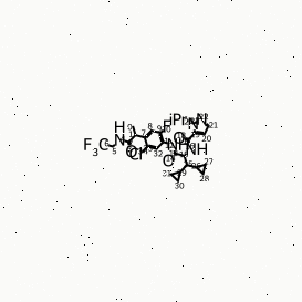 CC(C(=O)NCC(F)(F)F)c1cc(F)c(NC(=O)[C@@H](NC(=O)c2ccnn2C(C)C)C(C2CC2)C2CC2)cc1Cl